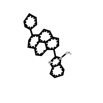 Cn1c(-c2ccc3ccc4c(-c5ccccc5)ccc5ccc2c3c54)nc2ccccc21